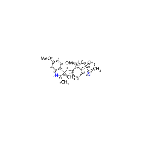 COc1ccc2c(c1)N=C(C)C2(C)Cc1ccc2c(c1OC)C(C)(C)C(C)=N2